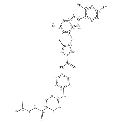 Cc1cc(C(=O)Nc2ccc(CN3CCN(C(=O)OCC(C)C)CC3)cc2)nn1Cc1cc(Cl)cc2cc(-c3ccc(F)cc3F)oc12